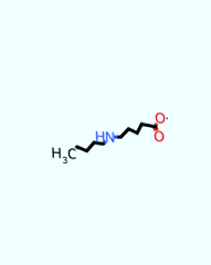 CCCCCNCCCCC([O])=O